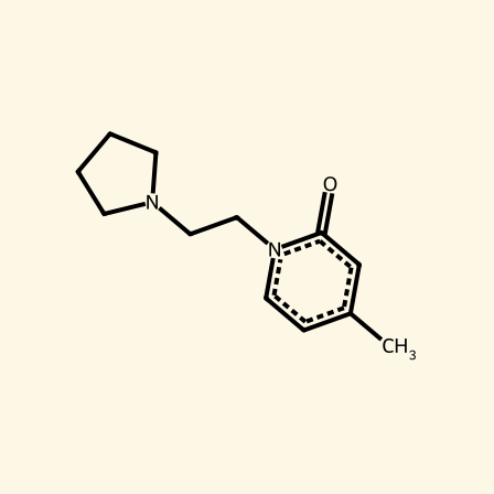 Cc1ccn(CCN2CCCC2)c(=O)c1